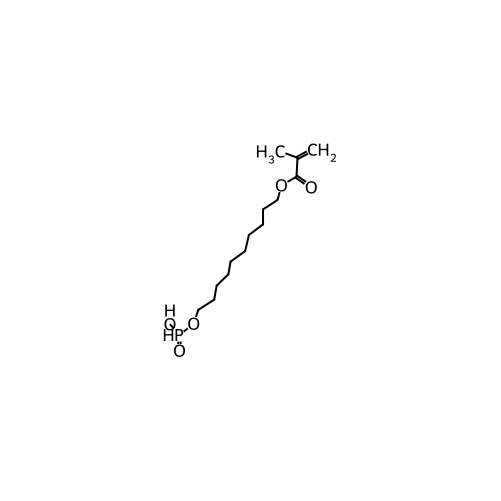 C=C(C)C(=O)OCCCCCCCCCCO[PH](=O)O